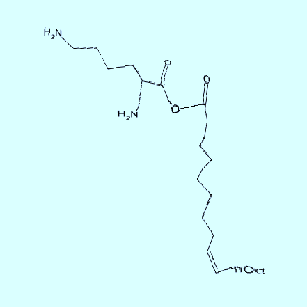 CCCCCCCC/C=C\CCCCCCCC(=O)OC(=O)C(N)CCCCN